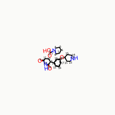 O=C(O)N1CCCCC1.O=C1CCC(c2cccc(OC3CCNCC3)c2)C(=O)N1